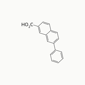 O=C(O)c1ccc2ccc(-c3ccccc3)cc2c1